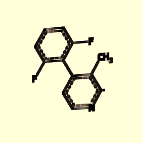 Cc1[c]nccc1-c1c(F)cccc1F